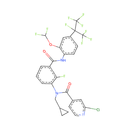 O=C(Nc1ccc(C(F)(C(F)(F)F)C(F)(F)F)cc1OC(F)F)c1cccc(N(CC2CC2)C(=O)c2ccnc(Cl)c2)c1F